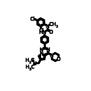 CN(C)Cc1cc2c(N3CCOCC3)nc(-c3ccc(NC(=O)N(C)c4ccc(Cl)cc4Cl)cc3)nn2c1